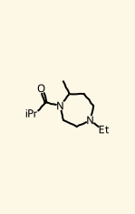 CCN1CCC(C)N(C(=O)C(C)C)CC1